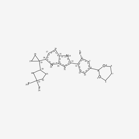 Fc1cc(C2OCCCO2)ccc1-c1nc2ccc(C3(C4CCC(F)(F)C4)CC3)nc2s1